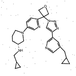 c1ncc(-c2cn(C3(c4ccc(N5CCC[C@@H](NCC6CC6)C5)cn4)COC3)nn2)cc1CC1CC1